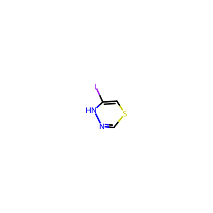 IC1=CSC=NN1